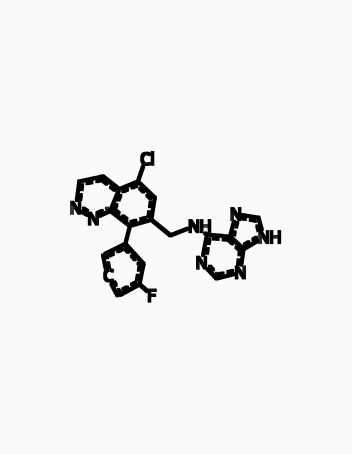 Fc1cccc(-c2c(CNc3ncnc4[nH]cnc34)cc(Cl)c3ccnnc23)c1